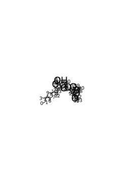 CCC(C)CC(C)CC(C)CC(C)/C=C(C)/C=C(/CC(C)C(=O)OCC(CC(=O)OC(C)(C)C)C(=O)OC(C)(C)C)C(=O)O